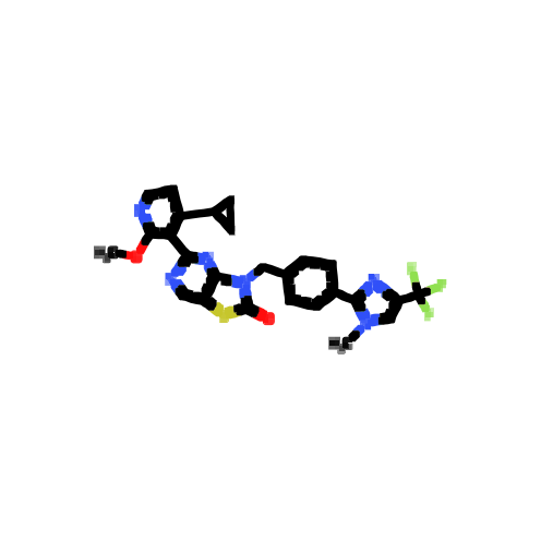 COc1nccc(C2CC2)c1-c1ncc2sc(=O)n(Cc3ccc(-c4nc(C(F)(F)F)cn4C)cc3)c2n1